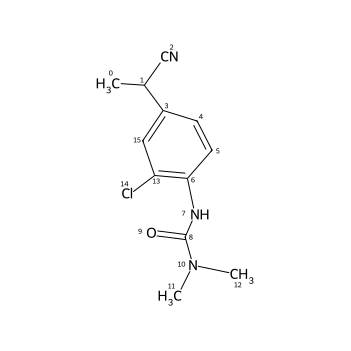 CC(C#N)c1ccc(NC(=O)N(C)C)c(Cl)c1